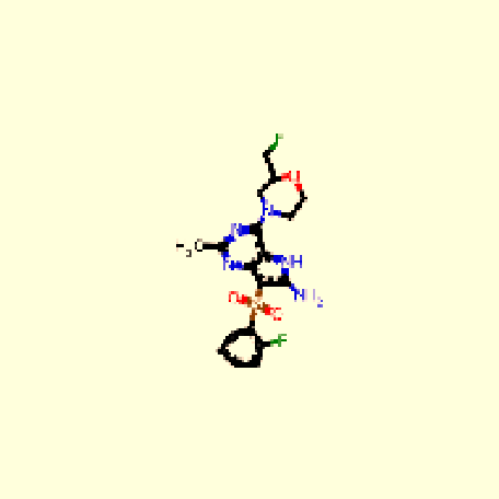 Cc1nc(N2CCOC(CF)C2)c2[nH]c(N)c(S(=O)(=O)c3ccccc3F)c2n1